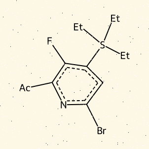 CCS(CC)(CC)c1cc(Br)nc(C(C)=O)c1F